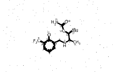 CC(NCc1cccc(C(F)(F)F)c1Cl)C(OC(N)=O)C(C)(C)C